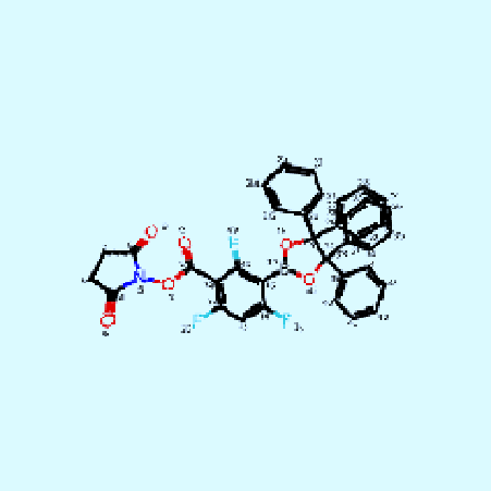 O=C(ON1C(=O)CCC1=O)c1c(F)cc(F)c(B2OC(c3ccccc3)(c3ccccc3)C(c3ccccc3)(c3ccccc3)O2)c1F